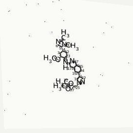 COc1cc(-c2cnc(C)n2C)ccc1Nc1cc2cc(-c3cnn(CC4COC(C)(C)O4)c3)ccc2cn1